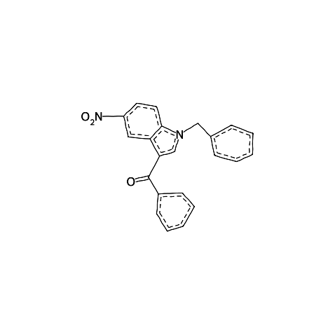 O=C(c1ccccc1)c1cn(Cc2ccccc2)c2ccc([N+](=O)[O-])cc12